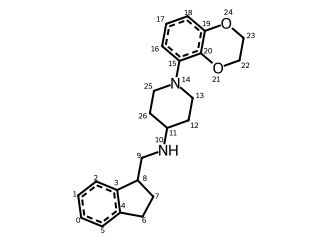 c1ccc2c(c1)CCC2CNC1CCN(c2cccc3c2OCCO3)CC1